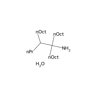 CCCCCCCCC(CCC)C(N)(CCCCCCCC)CCCCCCCC.O